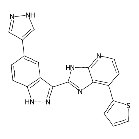 c1csc(-c2ccnc3[nH]c(-c4n[nH]c5ccc(-c6cn[nH]c6)cc45)nc23)c1